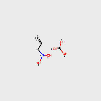 C=CCN(O)O.O=C(O)O